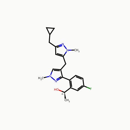 C[C@@H](O)c1cc(F)ccc1-c1nn(C)cc1Cc1cc(CC2CC2)nn1C